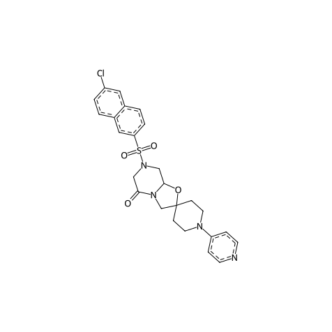 O=C1CN(S(=O)(=O)c2ccc3cc(Cl)ccc3c2)CC2OC3(CCN(c4ccncc4)CC3)CN12